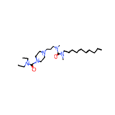 CCCCCCCCCCN(C)C(=O)N(C)CCCN1CCN(C(=O)N(CC)CC)CC1